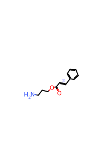 NCCCOC(=O)/C=C/c1ccccc1